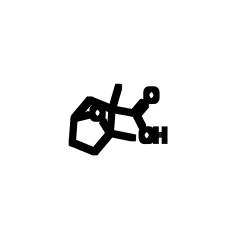 CC12CCC(CC1(C)C(=O)O)O2